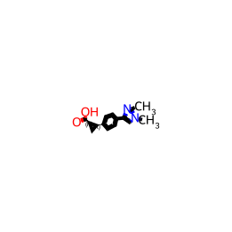 Cc1nc(-c2ccc([C@@H]3C[C@H]3C(=O)O)cc2)cn1C